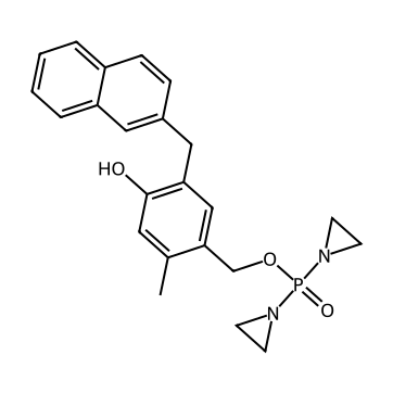 Cc1cc(O)c(Cc2ccc3ccccc3c2)cc1COP(=O)(N1CC1)N1CC1